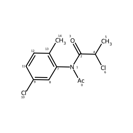 CC(=O)N(C(=O)C(C)Cl)c1cc(Cl)ccc1C